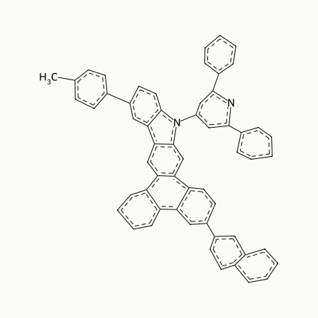 Cc1ccc(-c2ccc3c(c2)c2cc4c5ccccc5c5cc(-c6ccc7ccccc7c6)ccc5c4cc2n3-c2cc(-c3ccccc3)nc(-c3ccccc3)c2)cc1